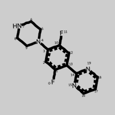 Fc1cc(N2CCNCC2)c(F)cc1-c1ncccn1